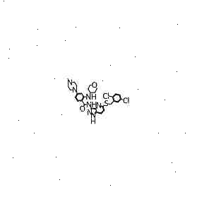 CN1CCN(c2ccc(C(=O)Nc3n[nH]c4ccc(SCc5cc(Cl)ccc5Cl)nc34)c(NC3CCOCC3)c2)CC1